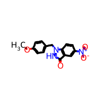 COc1ccc(Cn2[nH]c(=O)c3cc([N+](=O)[O-])ccc32)cc1